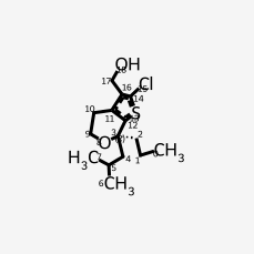 CCC[C@]1(CC(C)C)OCCc2c1sc(Cl)c2CO